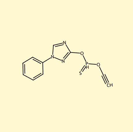 C#CO[PH](=S)Oc1ncn(-c2ccccc2)n1